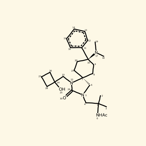 CC(=O)NC(C)(C)CN1C[C@]2(CC[C@](c3ccccc3)(N(C)C)CC2)N(CC2(O)CCC2)C1=O